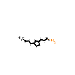 CCCCC1CCC(CCCP)C1